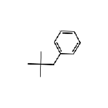 CC(C)(C)Cc1c[c]ccc1